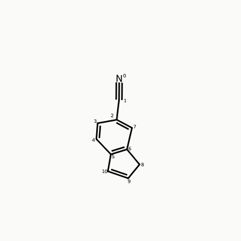 N#Cc1ccc2c(c1)CC=C2